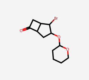 O=C1CC2C1CC(OC1CCCCO1)C2Br